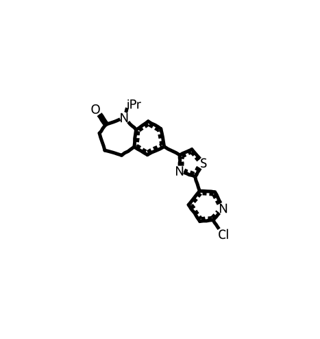 CC(C)N1C(=O)CCCc2cc(-c3csc(-c4ccc(Cl)nc4)n3)ccc21